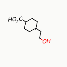 O=C(O)C1CC[C](CCO)CC1